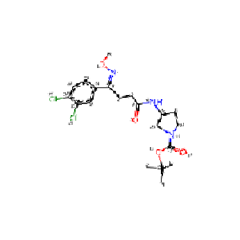 CO/N=C(/CCC(=O)NC1CCN(C(=O)OC(C)(C)C)C1)c1ccc(Cl)c(Cl)c1